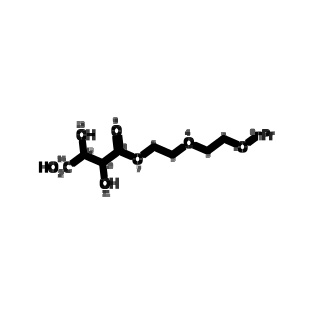 CCCOCCOCCOC(=O)C(O)C(O)C(=O)O